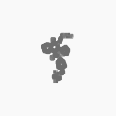 COCCN1C(=O)c2ccccc2C(C(=O)Nc2ccc(Cn3cncn3)cc2)C1c1cccs1